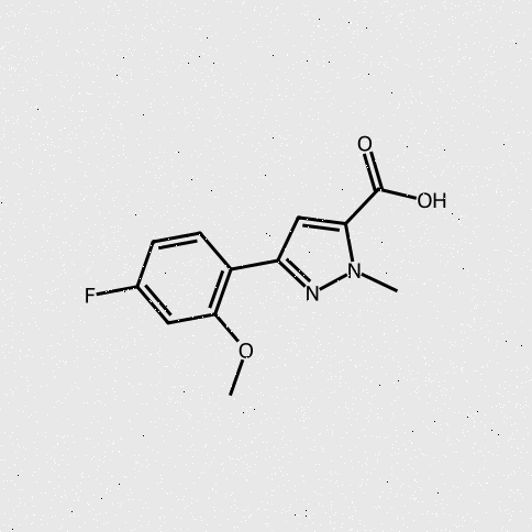 COc1cc(F)ccc1-c1cc(C(=O)O)n(C)n1